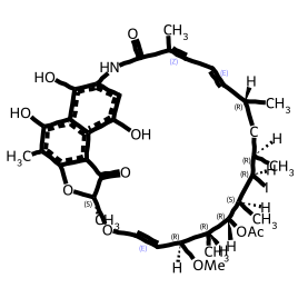 CO[C@H]1/C=C/O[C@@]2(C)Oc3c(C)c(O)c4c(O)c(cc(O)c4c3C2=O)NC(=O)/C(C)=C\C=C\[C@H](C)C[C@@H](C)[C@@H](I)[C@@H](C)[C@H](OC(C)=O)[C@@H]1C